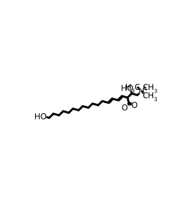 C[N+](C)(C)CC(O)C(C=CC=CCCCCCCCCCCCCO)C(=O)[O-]